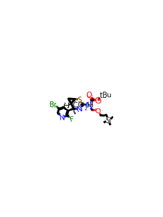 CC(C)(C)OC(=O)N(COCC[Si](C)(C)C)C1=N[C@](C)(c2cc(Br)cnc2F)[C@@H]2C[C@]2(C(=O)O)S1